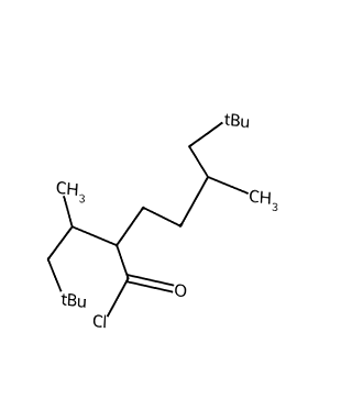 CC(CCC(C(=O)Cl)C(C)CC(C)(C)C)CC(C)(C)C